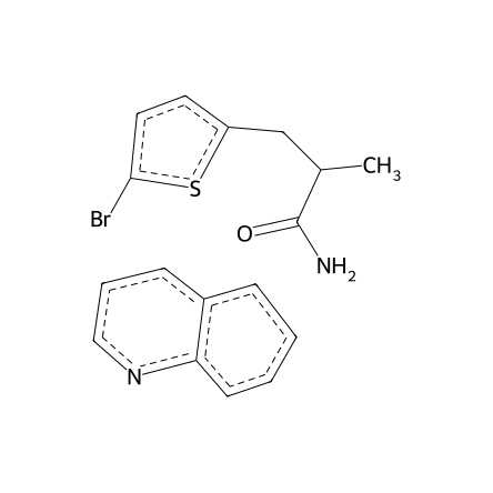 CC(Cc1ccc(Br)s1)C(N)=O.c1ccc2ncccc2c1